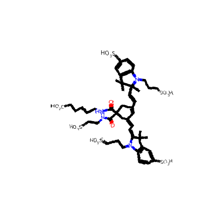 CC1(C)/C(=C\C=C2C=C(/C=C/C3(C)N(CCCS(=O)(=O)O)c4ccc(S(=O)(=O)O)cc4C3(C)C)CC(C(=O)NCCCCCC(=O)O)(C(=O)NCCS(=O)(=O)O)C\2)N(CCCS(=O)(=O)O)c2ccc(S(=O)(=O)O)cc21